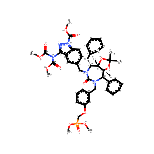 CCCCOP(=O)(COc1cccc(CN2C(=O)N(Cc3ccc4c(c3)c(N(C(=O)OC(C)(C)C)C(=O)OC(C)(C)C)nn4C(=O)OC(C)(C)C)[C@H](Cc3ccccc3)[C@@H]3OC(C)(C)O[C@H]3C2c2ccccc2)c1)OCCCC